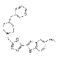 COc1ccc2[nH]c(-c3nnc(CN4CCC(Cc5ccccc5)CC4)[nH]3)cc2c1